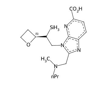 CCCN(C)Cc1nc2ccc(C(=O)O)nc2n1CC([SiH3])[C@@H]1CCO1